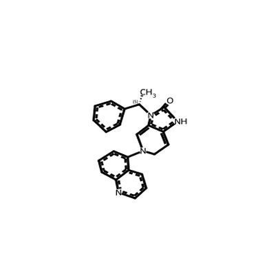 C[C@@H](c1ccccc1)n1c(=O)[nH]c2c1=CN(c1cccc3ncccc13)CC=2